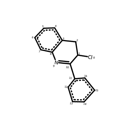 ClC1Cc2ccccc2N=C1c1ccccc1